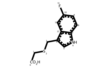 O=C(O)CSCc1c[nH]c2ccc(F)cc12